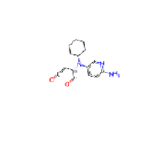 Nc1ccc(N(C2CCCCC2)[C@H]([C]=O)C=C=O)cn1